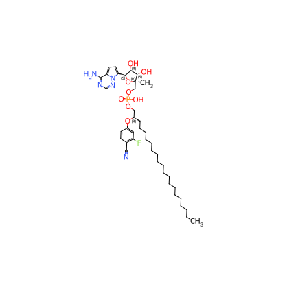 CCCCCCCCCCCCCCCCCCC[C@H](COP(=O)(O)OC[C@@]1(C)O[C@@H](c2ccc3c(N)ncnn23)[C@H](O)[C@@H]1O)Oc1ccc(C#N)c(F)c1